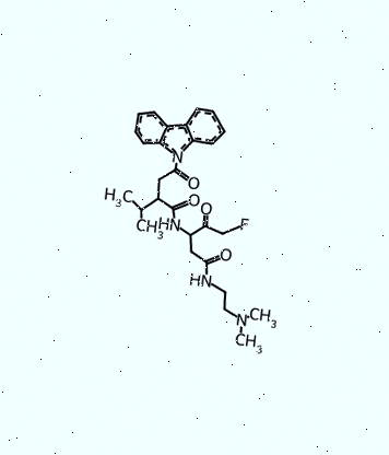 CC(C)C(CC(=O)n1c2ccccc2c2ccccc21)C(=O)NC(CC(=O)NCCN(C)C)C(=O)CF